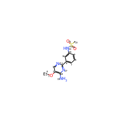 CCOc1cnc(-c2cccc(NS(C)(=O)=O)c2)nc1N